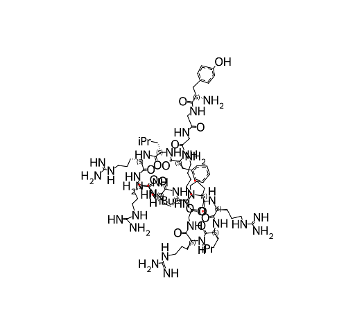 CC[C@H](C)[C@H](NC(=O)[C@H](CCCNC(=N)N)NC(=O)[C@H](CCCNC(=N)N)NC(=O)[C@H](CC(C)C)NC(=O)[C@H](Cc1ccccc1)NC(=O)CNC(=O)CNC(=O)[C@@H](N)Cc1ccc(O)cc1)C(=O)N[C@@H](CCCNC(=N)N)C(=O)N1CCC[C@H]1C(=O)N[C@@H](CCCNC(=N)N)C(=O)N[C@@H](CC(C)C)C(=O)N[C@@H](CCCNC(=N)N)C(=O)NCC(=O)NCCCCCN